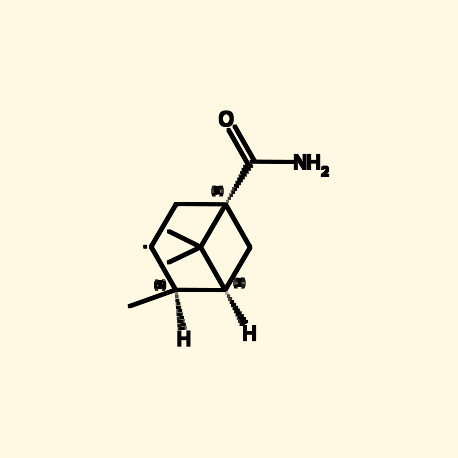 C[C@H]1[CH]C[C@@]2(C(N)=O)C[C@@H]1C2(C)C